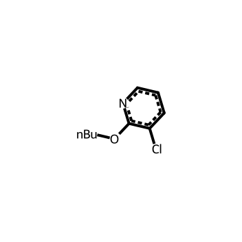 CCCCOc1ncccc1Cl